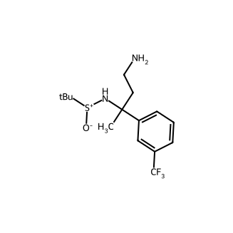 CC(CCN)(N[S+]([O-])C(C)(C)C)c1cccc(C(F)(F)F)c1